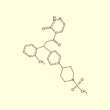 Cc1ccccc1C(CC(=O)c1ccn[nH]c1=O)c1ccc(C2CCN(S(C)(=O)=O)CC2)cc1